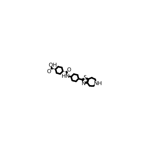 O=C(O)[C@H]1CC[C@H](C(=O)NC2CCC(c3nc4c(s3)CCNCC4)CC2)CC1